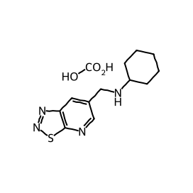 O=C(O)O.c1nc2snnc2cc1CNC1CCCCC1